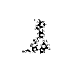 Nc1nc2c(ncn2[C@@H]2O[C@H](CCO)[C@H](F)[C@H]2OP(O)(=S)OC[C@]23CO[C@H](C2)[C@H](n2cnc4c(N)ncnc42)O3)c(=O)[nH]1